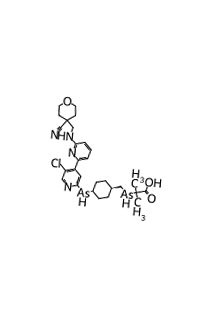 CC(C)([AsH]C[C@H]1CC[C@H]([AsH]c2cc(-c3cccc(NCC4(C#N)CCOCC4)n3)c(Cl)cn2)CC1)C(=O)O